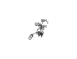 NCCC(NS(=O)(=O)c1ccc(NCCCN2CCOCC2)c(S(=O)(=O)C(F)(F)F)c1)N1CCOCC1